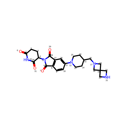 O=C1CCC(N2C(=O)c3ccc(N4CCC(CN5CC6(CNC6)C5)CC4)cc3C2=O)C(=O)N1